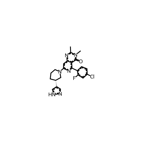 Cc1nc2cc(N3CCC[C@@H](c4cn[nH]c4)C3)nc(-c3ccc(Cl)cc3F)c2c(=O)n1C